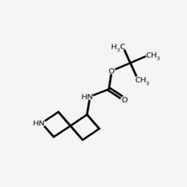 CC(C)(C)OC(=O)NC1CCC12CNC2